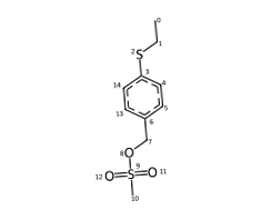 CCSc1ccc(COS(C)(=O)=O)cc1